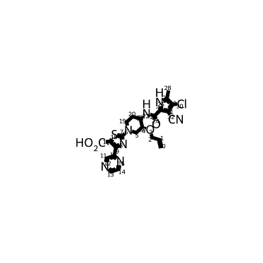 C=CCO[C@H]1CN(c2nc(-c3cnccn3)c(C(=O)O)s2)CC[C@H]1NC(=O)c1[nH]c(C)c(Cl)c1C#N